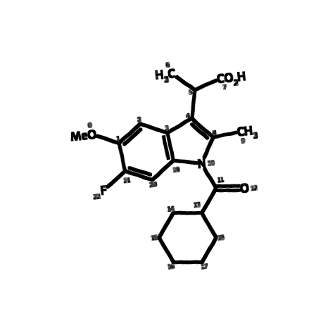 COc1cc2c(C(C)C(=O)O)c(C)n(C(=O)C3CCCCC3)c2cc1F